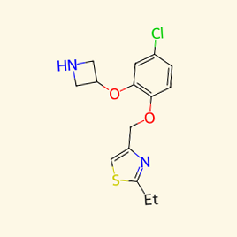 CCc1nc(COc2ccc(Cl)cc2OC2CNC2)cs1